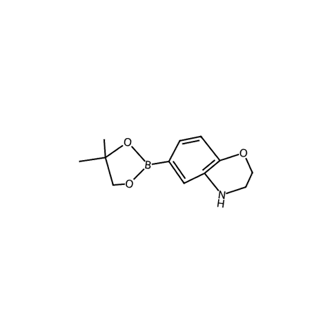 CC1(C)COB(c2ccc3c(c2)NCCO3)O1